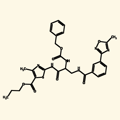 CCCOC(=O)c1sc(NC(=O)C(CNC(=O)c2cccc(-c3noc(C)n3)c2)NC(=O)OCc2ccccc2)nc1C